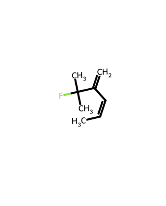 C=C(/C=C\C)C(C)(C)F